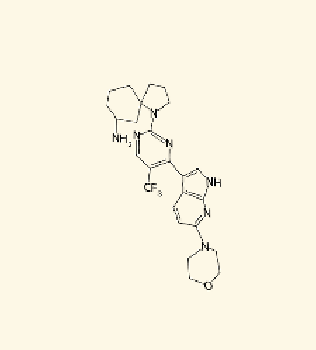 NC1CCCC2(CCCN2c2ncc(C(F)(F)F)c(-c3c[nH]c4nc(N5CCOCC5)ccc34)n2)C1